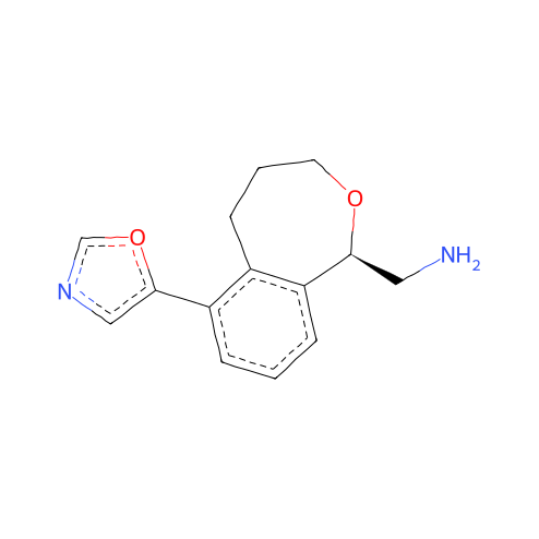 NC[C@@H]1OCCCc2c(-c3cnco3)cccc21